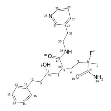 CC(F)(CC[C@H](C[C@@H](O)[CH]Cc1ccccc1)C(=O)NCCc1cccnc1)C(N)=O